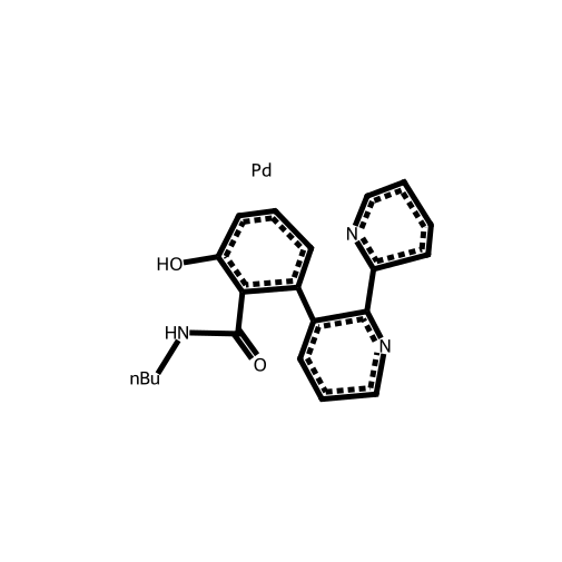 CCCCNC(=O)c1c(O)cccc1-c1cccnc1-c1ccccn1.[Pd]